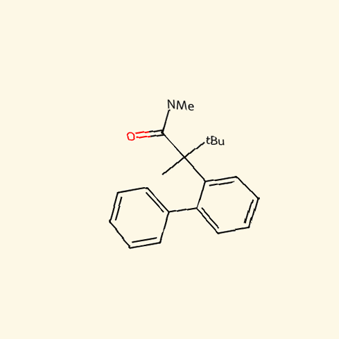 CNC(=O)C(C)(c1ccccc1-c1ccccc1)C(C)(C)C